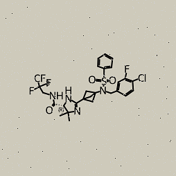 CC1(C)N=C(C23CC(N(Cc4ccc(Cl)c(F)c4)S(=O)(=O)c4ccccc4)(C2)C3)N[C@H]1C(=O)NCC(F)(F)C(F)(F)F